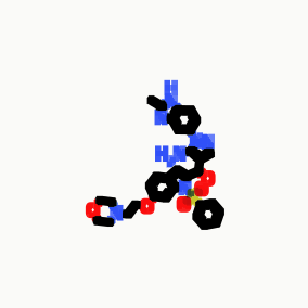 Cc1nc2cc(-n3ncc(C(=O)c4cc5ccc(OCCN6CCOCC6)cc5n4S(=O)(=O)c4ccccc4)c3N)ccc2[nH]1